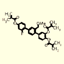 C=C(C)C(=O)Oc1ccc(-c2ccc(-c3ccc(OC(=O)C(=C)C)c(OC(=O)C(=C)C)c3)c(COC)c2)c(F)c1